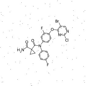 NC(=O)C1(C(=O)N(c2ccc(F)cc2)c2ccc(Oc3nc(Cl)ncc3Br)c(F)c2)CC1